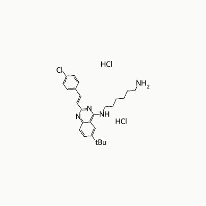 CC(C)(C)c1ccc2nc(C=Cc3ccc(Cl)cc3)nc(NCCCCCCN)c2c1.Cl.Cl